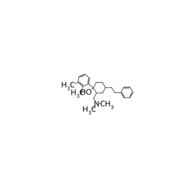 Cc1cccc(C2(O)CCC(CCc3ccccc3)CC2CN(C)C)c1C